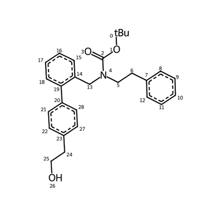 CC(C)(C)OC(=O)N(CCc1ccccc1)Cc1ccccc1-c1ccc(CCO)cc1